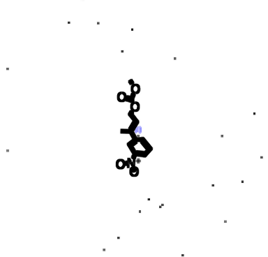 COC(=O)OC/C=C(\C)c1cccc([N+](=O)[O-])c1